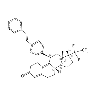 C[C@]12C[C@H](c3ccc(C=Cc4cccnc4)cc3)C3=C4CCC(=O)C=C4CC[C@H]3[C@@H]1CC[C@@]2(O)C(F)(F)C(F)(F)F